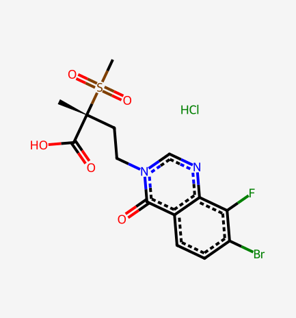 C[C@@](CCn1cnc2c(F)c(Br)ccc2c1=O)(C(=O)O)S(C)(=O)=O.Cl